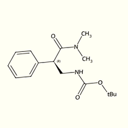 CN(C)C(=O)[C@@H](CNC(=O)OC(C)(C)C)c1ccccc1